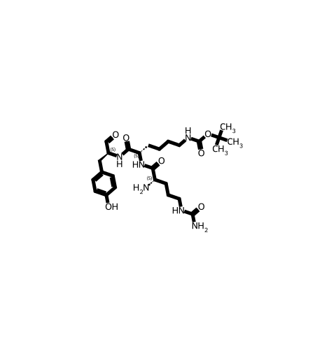 CC(C)(C)OC(=O)NCCCC[C@H](NC(=O)[C@@H](N)CCCNC(N)=O)C(=O)N[C@H](C=O)Cc1ccc(O)cc1